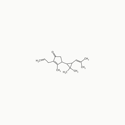 C=CCC1=C(C)C(C2C(C=C(C)C)C2(C)C)CC1=O